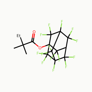 CCC(C)(C)C(=O)OC12C(F)(F)C3C(F)(F)C(F)(C(F)(F)C(F)(C3(F)F)C1(F)F)C2(F)F